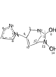 OC1N2CC(n3cccn3)=CC(C2)N1O